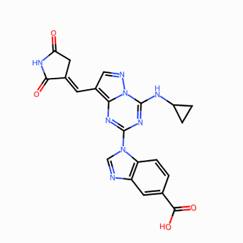 O=C1C/C(=C\c2cnn3c(NC4CC4)nc(-n4cnc5cc(C(=O)O)ccc54)nc23)C(=O)N1